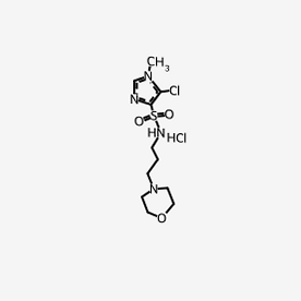 Cl.Cn1cnc(S(=O)(=O)NCCCN2CCOCC2)c1Cl